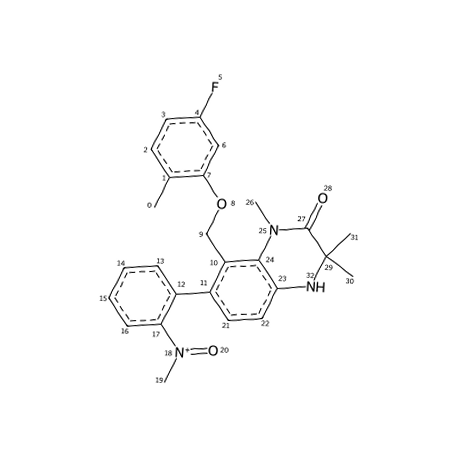 Cc1ccc(F)cc1OCc1c(-c2ccccc2[N+](C)=O)ccc2c1N(C)C(=O)C(C)(C)N2